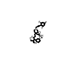 COc1ccc2ncc(CF)c([C@H](F)CCC3(CC(=O)O)CCN(CC#Cc4c(F)cc(F)cc4F)CC3)c2c1